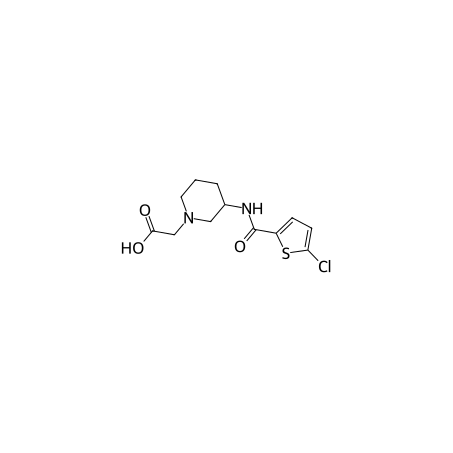 O=C(O)CN1CCCC(NC(=O)c2ccc(Cl)s2)C1